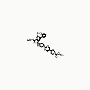 CNC(=N)c1nnc(-c2ccccc2O)cc1NC1CCN(c2ncc(C3CCN(C(=O)OC(C)(C)C)CC3)cn2)CC1